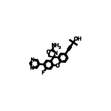 CC(C)(O)C#Cc1ccc2c(c1)[C@]1(COC(N)=N1)c1cc(-c3cncnc3)c(F)cc1O2